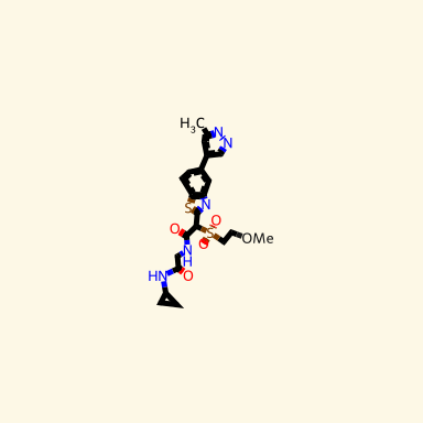 COCCS(=O)(=O)C(C(=O)NCC(=O)NC1CC1)c1nc2cc(-c3cnnc(C)c3)ccc2s1